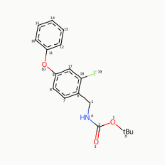 CC(C)(C)OC(=O)NCc1ccc(Oc2ccccc2)cc1F